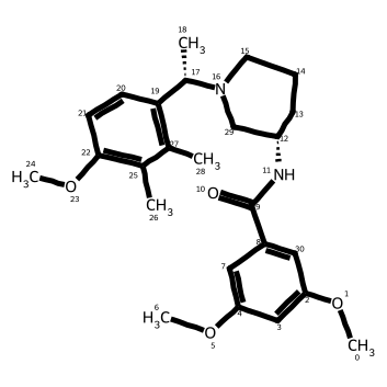 COc1cc(OC)cc(C(=O)N[C@H]2CCCN([C@@H](C)c3ccc(OC)c(C)c3C)C2)c1